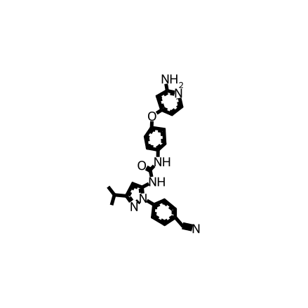 CC(C)c1cc(NC(=O)Nc2ccc(Oc3ccnc(N)c3)cc2)n(-c2ccc(C#N)cc2)n1